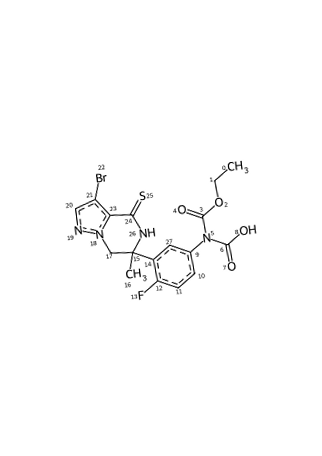 CCOC(=O)N(C(=O)O)c1ccc(F)c(C2(C)Cn3ncc(Br)c3C(=S)N2)c1